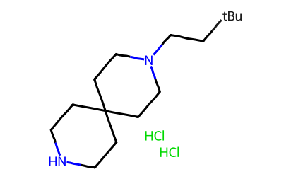 CC(C)(C)CCN1CCC2(CCNCC2)CC1.Cl.Cl